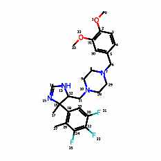 COc1ccc(CN2CCN(CC3NC=NC3(C)c3cc(F)c(F)c(F)c3C)CC2)cc1OC